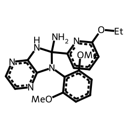 CCOc1cccc(C2(N)Nc3nccnc3N2c2c(OC)cccc2OC)n1